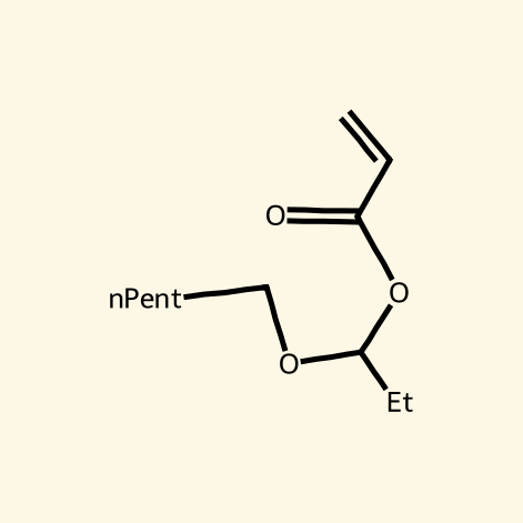 C=CC(=O)OC(CC)OCCCCCC